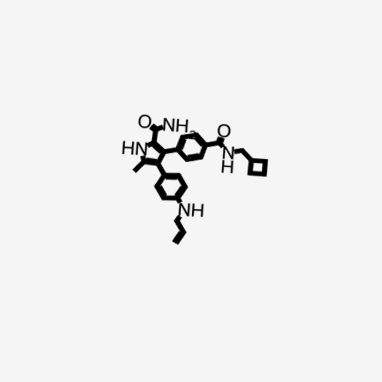 C=CCNc1ccc(-c2c(C)[nH]c(C(N)=O)c2-c2ccc(C(=O)NCC3CCC3)cc2)cc1